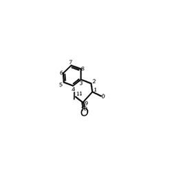 CC(Cc1ccccc1)C(=O)I